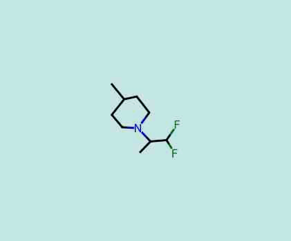 CC1CCN(C(C)C(F)F)CC1